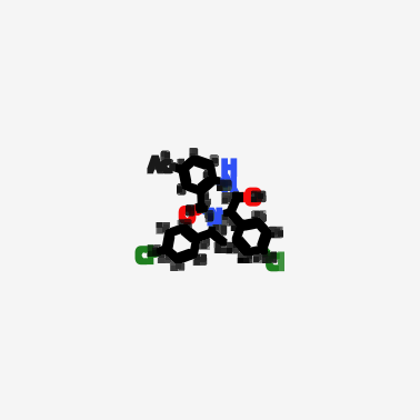 CC(=O)c1ccc2c(c1)C(=O)N(C(C)c1ccc(Cl)cc1)C(c1ccc(Cl)cc1)C(=O)N2